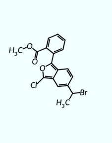 COC(=O)c1ccccc1-c1oc(Cl)c2cc(C(C)Br)ccc12